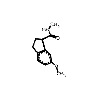 CNC(=O)C1CCc2ccc(OC)cc21